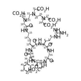 N=C(N)NCCC[C@@H]1NC(=O)[C@H](CCCCNC(=O)CN(CCN(CCN(CC(=O)O)CC(=O)O)CC(=O)O)CC(=O)O)NC(=O)[C@@H](Cc2ccccc2)NC(=O)[C@H](CC(=O)O)NC(=O)CNC1=O